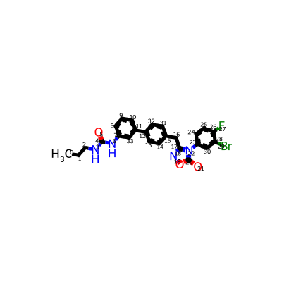 CCCNC(=O)Nc1cccc(-c2ccc(Cc3noc(=O)n3-c3ccc(F)c(Br)c3)cc2)c1